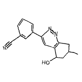 CC1Cc2nnc(-c3cccc(C#N)c3)cc2C(O)C1